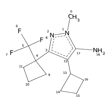 Cn1nc(C2(C(F)(F)F)CCC2)c(C2CCC2)c1N